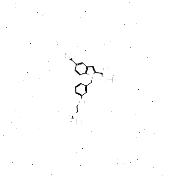 COCCOc1cccc(Cn2c(C(=O)O)cc3cc(C#N)ccc32)c1